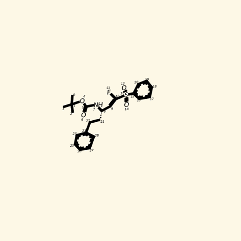 CC(C)(C)OC(=O)N[C@H](/C=C(\F)S(=O)(=O)c1ccccc1)CCc1ccccc1